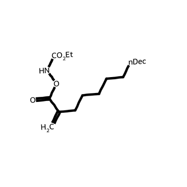 C=C(CCCCCCCCCCCCCCC)C(=O)ONC(=O)OCC